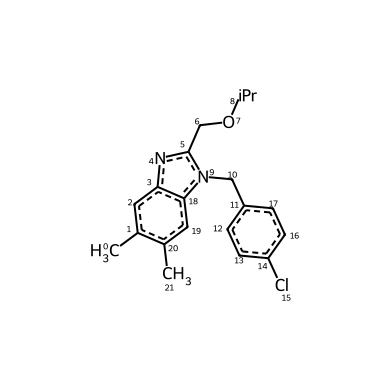 Cc1cc2nc(COC(C)C)n(Cc3ccc(Cl)cc3)c2cc1C